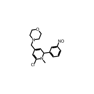 CN1C(Cl)=CC(CN2CCOCC2)=CC1c1cccc(N=O)c1